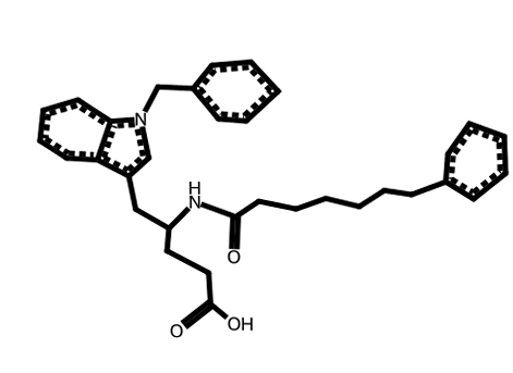 O=C(O)CCC(Cc1cn(Cc2ccccc2)c2ccccc12)NC(=O)CCCCCCc1ccccc1